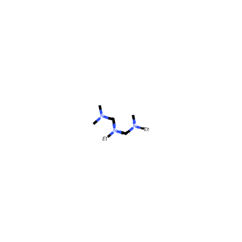 CCN(C)CN(CC)CN(C)C